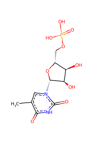 Cc1cn([C@@H]2O[C@H](COP(=O)(O)O)[C@@H](O)[C@H]2O)c(=O)[nH]c1=O